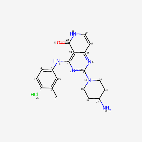 Cc1cccc(Nc2nc(N3CCC(N)CC3)nc3cc[nH]c(=O)c23)c1.Cl